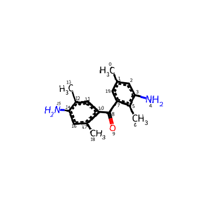 Cc1cc(N)c(C)c(C(=O)c2cc(C)c(N)cc2C)c1